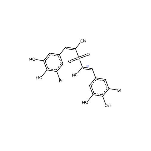 N#CC(=Cc1cc(O)c(O)c(Br)c1)S(=O)(=O)/C(C#N)=C/c1cc(O)c(O)c(Br)c1